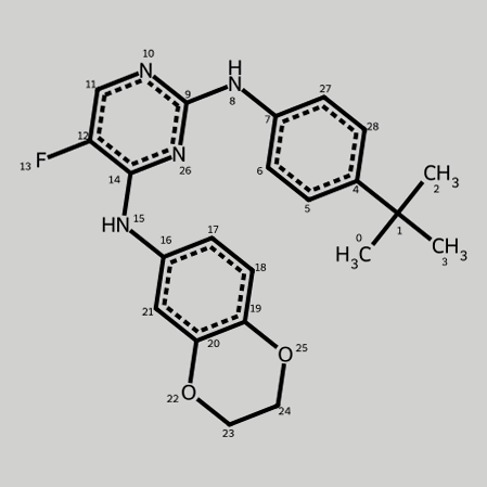 CC(C)(C)c1ccc(Nc2ncc(F)c(Nc3ccc4c(c3)OCCO4)n2)cc1